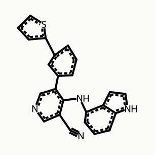 N#Cc1cncc(-c2cccc(-c3cccs3)c2)c1Nc1cccc2[nH]ccc12